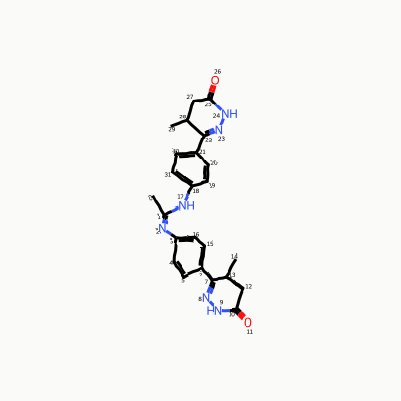 CC(=Nc1ccc(C2=NNC(=O)CC2C)cc1)Nc1ccc(C2=NNC(=O)CC2C)cc1